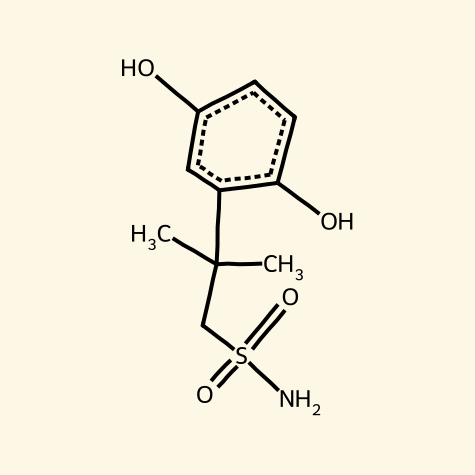 CC(C)(CS(N)(=O)=O)c1cc(O)ccc1O